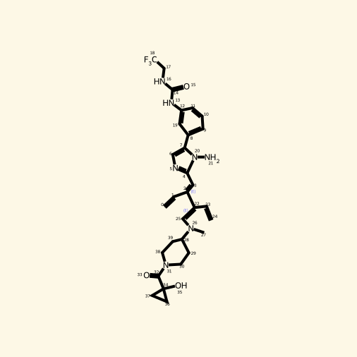 C=CC(=C\c1ncc(-c2cccc(NC(=O)NCC(F)(F)F)c2)n1N)/C(C=C)=C/N(C)C1CCN(C(=O)C2(O)CC2)CC1